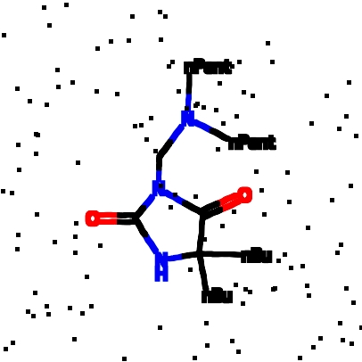 CCCCCN(CCCCC)CN1C(=O)NC(CCCC)(CCCC)C1=O